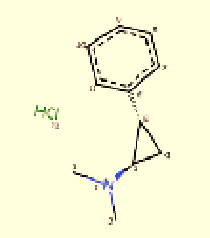 CN(C)[C@@H]1C[C@H]1c1ccccc1.Cl